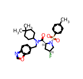 Cc1ccc(S(=O)(=O)N2C[C@@H](F)C[C@H]2C(=O)N(Cc2ccc3ncoc3c2)C2CCC(C)(C)CC2)cc1